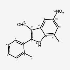 Cc1ccccc1-c1[nH]c2c(C)cc([N+](=O)[O-])cc2c1C=O